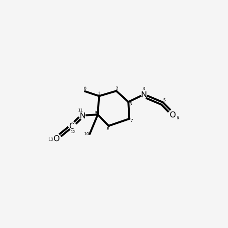 CC1CC(N=C=O)CCC1(C)N=C=O